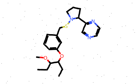 CCC(OC)C(CC)Oc1cccc(CSN2CCCC2c2cnccn2)c1